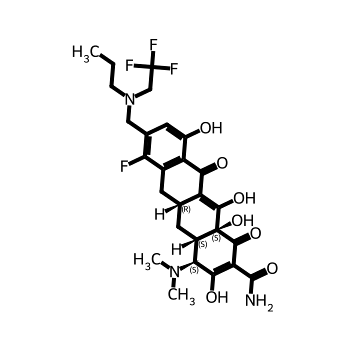 CCCN(Cc1cc(O)c2c(c1F)C[C@H]1C[C@H]3[C@H](N(C)C)C(O)=C(C(N)=O)C(=O)[C@@]3(O)C(O)=C1C2=O)CC(F)(F)F